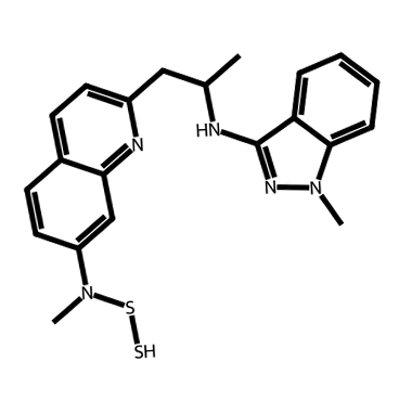 CC(Cc1ccc2ccc(N(C)SS)cc2n1)Nc1nn(C)c2ccccc12